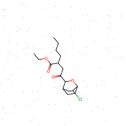 [CH2]CCCC(CC(=O)[C]1OC2CCC1CC2Cl)C(=O)OCC